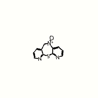 O=[N+]1Cc2cccnc2Sc2ncccc21